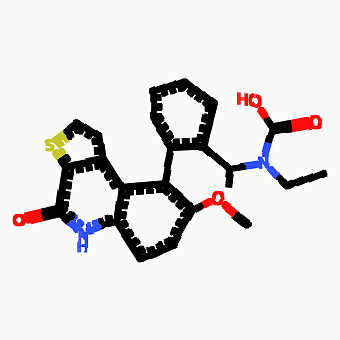 CCN(C(=O)O)C(C)c1ccccc1-c1c(OC)ccc2[nH]c(=O)c3sccc3c12